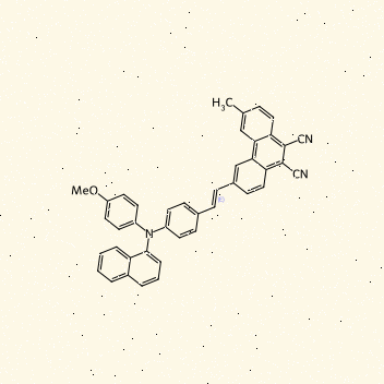 COc1ccc(N(c2ccc(/C=C/c3ccc4c(C#N)c(C#N)c5ccc(C)cc5c4c3)cc2)c2cccc3ccccc23)cc1